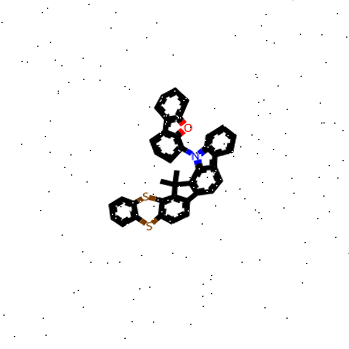 CC1(C)c2c(ccc3c2Sc2ccccc2S3)-c2ccc3c4ccccc4n(-c4cccc5c4oc4ccccc45)c3c21